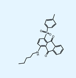 CCCCCNc1ccc(S(=O)(=O)c2ccc(C)cc2)c2c1C(=O)c1ccccc1C2=O